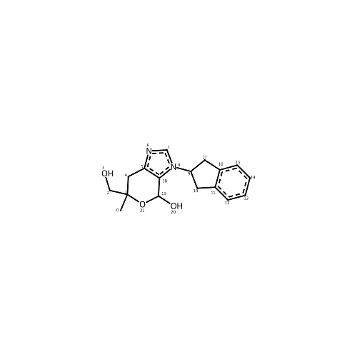 CC1(CO)Cc2ncn(C3Cc4ccccc4C3)c2C(O)O1